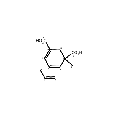 C=CC.CC1(C(=O)O)C=CC=C(C(=O)O)C1